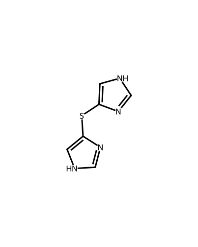 c1nc(Sc2c[nH]cn2)c[nH]1